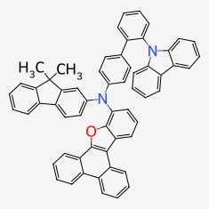 CC1(C)c2ccccc2-c2ccc(N(c3ccc(-c4ccccc4-n4c5ccccc5c5ccccc54)cc3)c3cccc4c3oc3c5ccccc5c5ccccc5c43)cc21